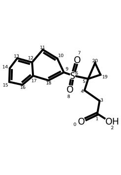 O=C(O)CCC1(S(=O)(=O)c2ccc3ccccc3c2)CC1